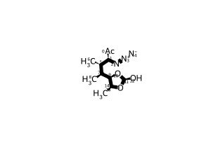 CC(=O)[C@H](N=[N+]=[N-])[C@@H](C)[C@H](C)[C@H]1O[C@@H](O)O[C@H]1C